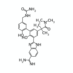 CN(C)C(=O)C(C)(C)c1cc(-c2nc3cc(C(=N)N)ccc3[nH]2)c(O)c(-c2cc(CNC(N)=O)ccc2O)c1